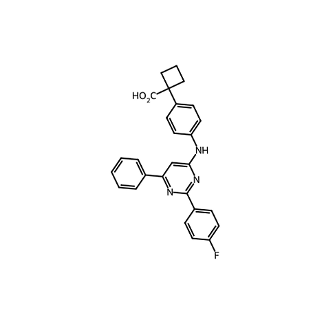 O=C(O)C1(c2ccc(Nc3cc(-c4ccccc4)nc(-c4ccc(F)cc4)n3)cc2)CCC1